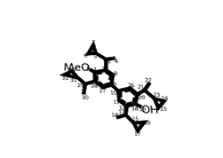 COc1c(C(C)C2CC2)cc(-c2cc(C(C)C3CC3)c(O)c(C(C)C3CC3)c2)cc1C(C)C1CC1